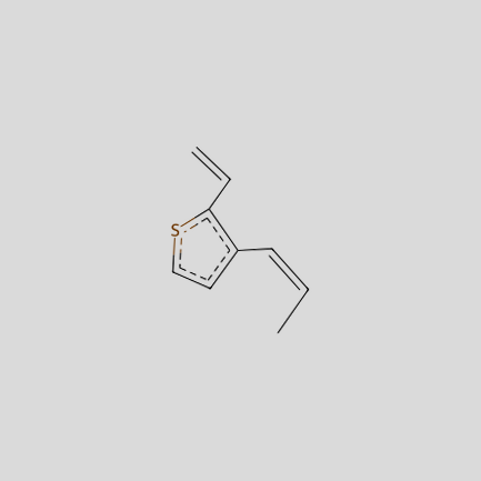 C=Cc1sccc1/C=C\C